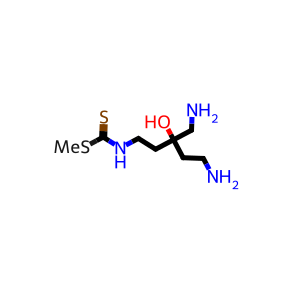 CSC(=S)NCCC(O)(CN)CCN